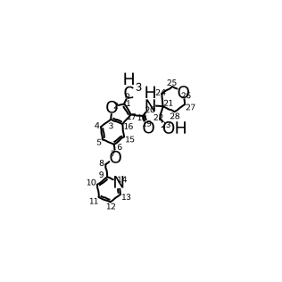 Cc1oc2ccc(OCc3ccccn3)cc2c1C(=O)NC1(CO)CCOCC1